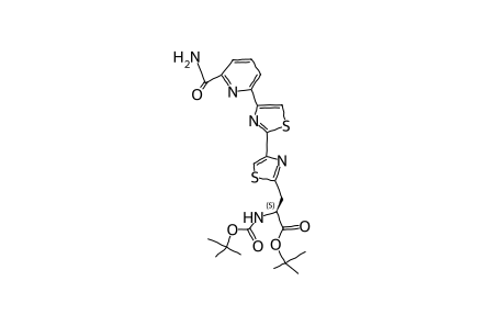 CC(C)(C)OC(=O)N[C@@H](Cc1nc(-c2nc(-c3cccc(C(N)=O)n3)cs2)cs1)C(=O)OC(C)(C)C